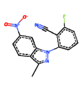 Cc1nn(-c2cccc(F)c2C#N)c2cc([N+](=O)[O-])ccc12